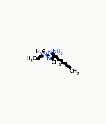 CCCCCCCCc1c(C)nc(N(C)CCCC)nc1N